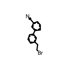 N#Cc1cccc(-c2cccc(CCBr)c2)c1